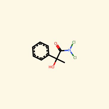 CC(O)(C(=O)N(Cl)Cl)c1ccccc1